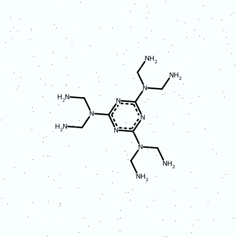 NCN(CN)c1nc(N(CN)CN)nc(N(CN)CN)n1